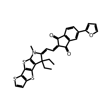 CCC1(CC)/C(=C\C=C2/C(=O)c3ccc(-c4ccco4)cc3C2=O)N(C)c2sc3c(sc4ccsc43)c21